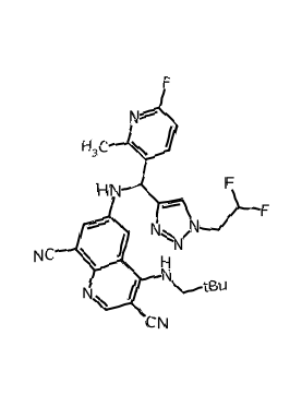 Cc1nc(F)ccc1C(Nc1cc(C#N)c2ncc(C#N)c(NCC(C)(C)C)c2c1)c1cn(CC(F)F)nn1